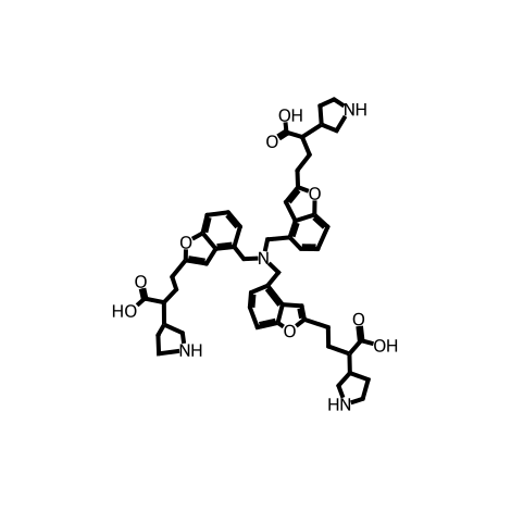 O=C(O)C(CCc1cc2c(CN(Cc3cccc4oc(CCC(C(=O)O)C5CCNC5)cc34)Cc3cccc4oc(CCC(C(=O)O)C5CCNC5)cc34)cccc2o1)C1CCNC1